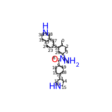 Cc1ccc(N(N)C(=O)c2ccc(C3CCNC3)cc2)cc1-c1ccc2c(c1)=CNCC=2